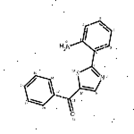 Nc1ccccc1-c1ncc(C(=O)c2ccccc2)s1